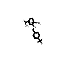 CC(C)C12CCC(C)(O1)C(OCc1ccc(C(F)(F)F)cc1)C2